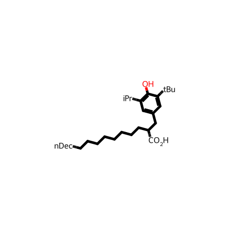 CCCCCCCCCCCCCCCCCCC(Cc1cc(C(C)C)c(O)c(C(C)(C)C)c1)C(=O)O